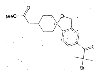 COC(=O)CC1CCC2(CC1)OCc1cc(C(=O)C(C)(C)Br)ccc12